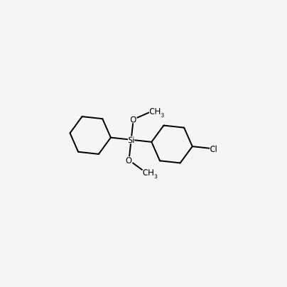 CO[Si](OC)(C1CCCCC1)C1CCC(Cl)CC1